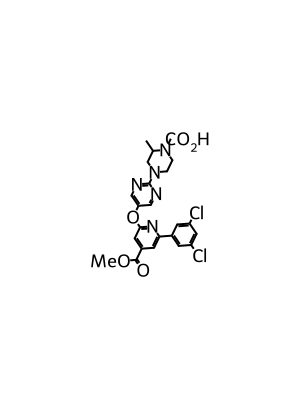 COC(=O)c1cc(Oc2cnc(N3CCN(C(=O)O)C(C)C3)nc2)nc(-c2cc(Cl)cc(Cl)c2)c1